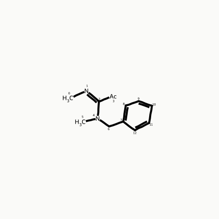 C/N=C(/C(C)=O)N(C)Cc1ccccc1